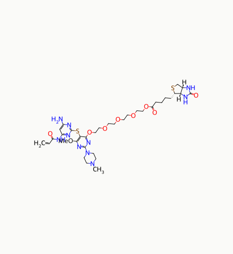 C=CC(=O)Nc1cc(N)nc(Sc2c(OC)nc(N3CCN(C)CC3)nc2OCCOCCOCCOCCOC(=O)CCCC[C@@H]2SC[C@@H]3NC(=O)N[C@@H]32)n1